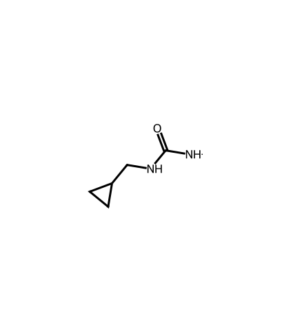 [NH]C(=O)NCC1CC1